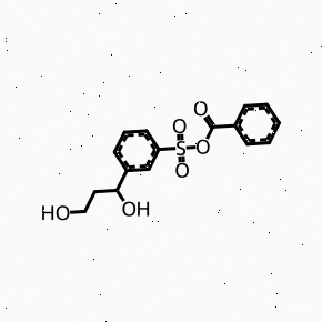 O=C(OS(=O)(=O)c1cccc(C(O)CCO)c1)c1ccccc1